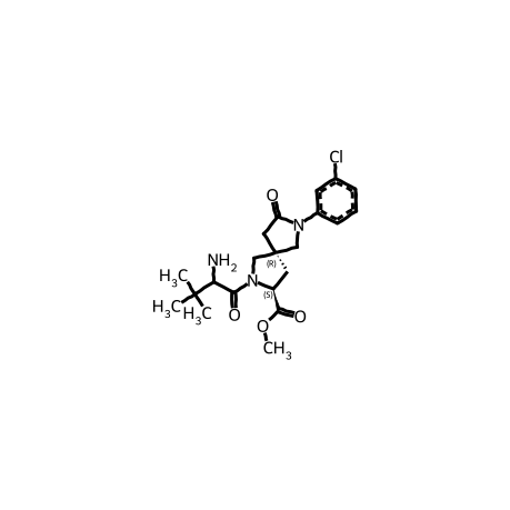 COC(=O)[C@@H]1C[C@@]2(CC(=O)N(c3cccc(Cl)c3)C2)CN1C(=O)C(N)C(C)(C)C